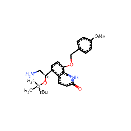 COc1ccc(COc2ccc([C@H](CN)O[Si](C)(C)C(C)(C)C)c3ccc(=O)[nH]c23)cc1